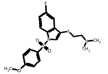 COc1ccc(S(=O)(=O)n2cc(SCCN(C)C)c3cc(F)ccc32)cc1